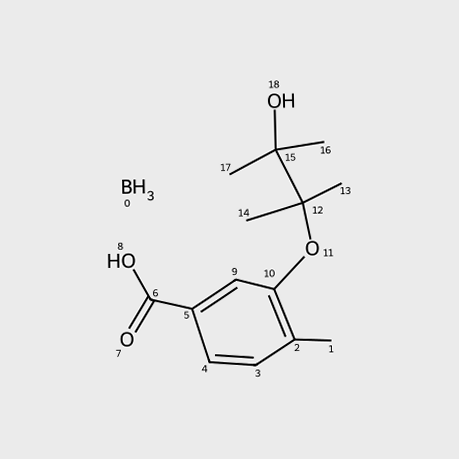 B.Cc1ccc(C(=O)O)cc1OC(C)(C)C(C)(C)O